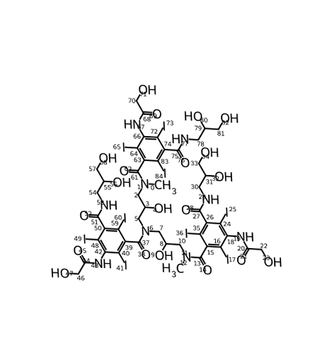 CN(CC(O)CN(CC(O)CN(C)C(=O)c1c(I)c(NC(=O)CO)c(I)c(C(=O)NCC(O)CO)c1I)C(=O)c1c(I)c(NC(=O)CO)c(I)c(C(=O)NCC(O)CO)c1I)C(=O)c1c(I)c(NC(=O)CO)c(I)c(C(=O)NCC(O)CO)c1I